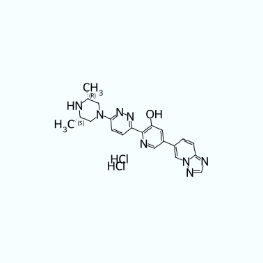 C[C@@H]1CN(c2ccc(-c3ncc(-c4ccc5ncnn5c4)cc3O)nn2)C[C@H](C)N1.Cl.Cl